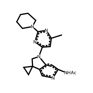 CC(=O)Nc1cc2c(cn1)C1(CC1)CN2c1cc(C)nc(N2CCCCC2)n1